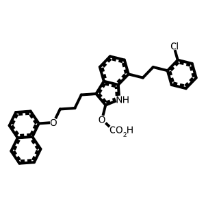 O=C(O)Oc1[nH]c2c(CCc3ccccc3Cl)cccc2c1CCCOc1cccc2ccccc12